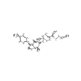 CCOCCC(=O)N1CCC(O)(Cn2cnc3c(cnn3-c3ccc(C(F)(F)F)cc3)c2=O)CC1